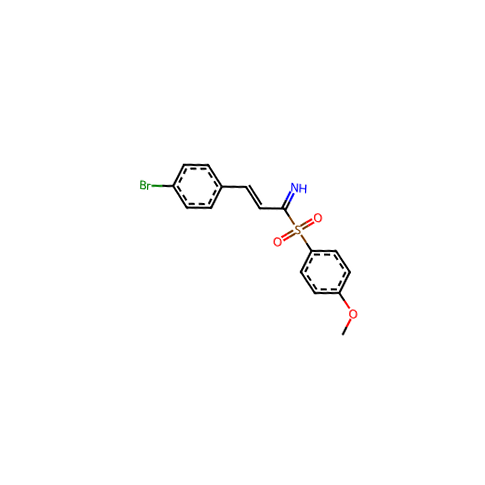 COc1ccc(S(=O)(=O)C(=N)C=Cc2ccc(Br)cc2)cc1